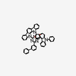 c1ccc(-c2cccc(-c3nc(-c4cccc5c4c4ccccc4n5-c4ccccc4)nc(-n4c5ccccc5c5ccc6c7ccccc7n(-c7ccccc7)c6c54)n3)c2)cc1